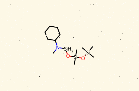 CN([SiH2]O[Si](C)(C)O[Si](C)(C)C)C1CCCCC1